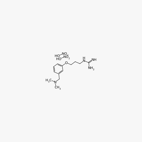 CN(C)Cc1cccc(OCCCNC(=N)N)c1.O=[N+]([O-])O.O=[N+]([O-])O